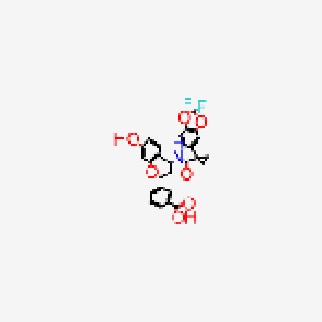 O=C(O)c1cccc([C@H]2C[C@@H](NC(=O)C3(c4ccc5c(c4)OC(F)(F)O5)CC3)c3ccc(O)cc3O2)c1